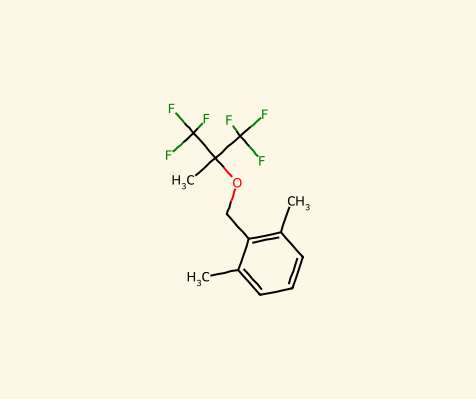 Cc1cccc(C)c1COC(C)(C(F)(F)F)C(F)(F)F